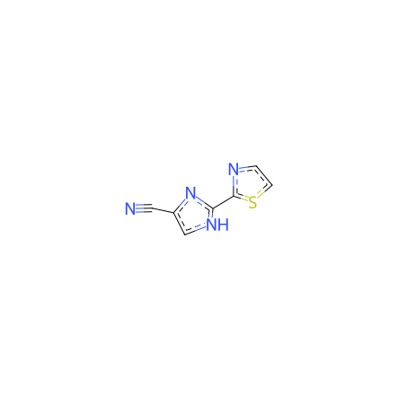 N#Cc1c[nH]c(-c2nccs2)n1